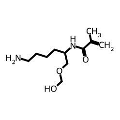 C=C(C)C(=O)NC(CCCCN)COCO